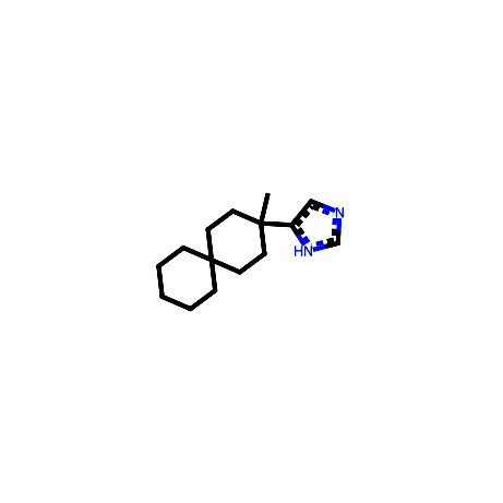 CC1(c2cnc[nH]2)CCC2(CCCCC2)CC1